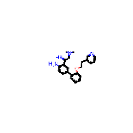 CN(C)CC(=N)c1cc(-c2ccccc2OCCc2cccnc2)ccc1N